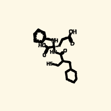 O=C(O)CC[C@@](NC(=O)C(CS)CC1CCCCC1)(Nc1ccccc1)C(=O)O